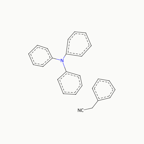 N#CCc1ccccc1.c1ccc(N(c2ccccc2)c2ccccc2)cc1